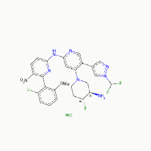 COc1cccc(F)c1-c1nc(Nc2cc(N3CC[C@@H](F)[C@H](N)C3)c(-c3cnn(C(F)F)c3)cn2)ccc1[N+](=O)[O-].Cl